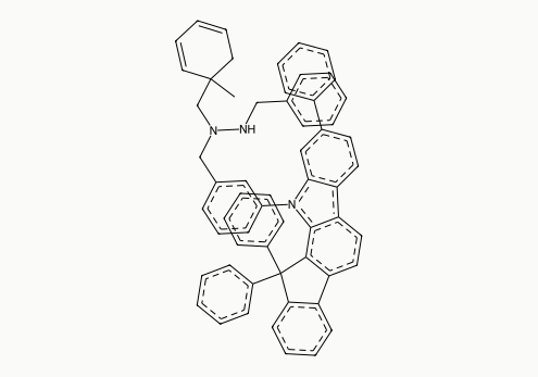 CC1(CN(Cc2cccc(-n3c4cc(-c5ccccc5)ccc4c4ccc5c(c43)C(c3ccccc3)(c3ccccc3)c3ccccc3-5)c2)NCc2ccccc2)C=CC=CC1